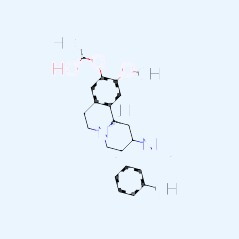 COc1cc2c(cc1O[C@H](C)O)CCN1C[C@@H](c3cccc(C)c3)C(N)C[C@H]21